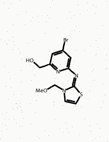 COCn1ccsc1=Nc1cc(Br)cc(CO)n1